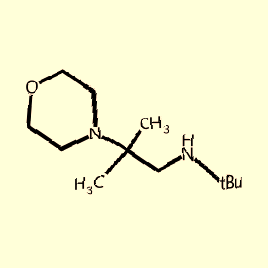 CC(C)(C)NCC(C)(C)N1CCOCC1